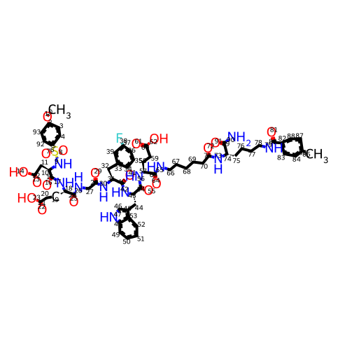 COc1ccc(S(=O)(=O)N[C@H](CC(=O)O)C(=O)N[C@@H](CCC(=O)O)C(=O)NCC(=O)N[C@@H](Cc2cccc(F)c2)C(=O)N[C@@H](Cc2c[nH]c3ccccc23)C(=O)N[C@@H](CCC(=O)O)C(=O)NCCCCCC(=O)N[C@@H](CCCCNC(=O)c2ccc(C)cc2)C(N)=O)cc1